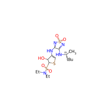 CCN(CC)S(=O)(=O)C1SC=C(NC2=NS(=O)(=O)N=C2N[C@@H](C)C(C)(C)C)C1O